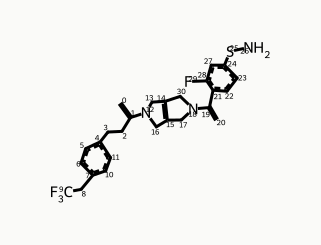 C=C(CCc1ccc(CC(F)(F)F)cc1)N1CC2=C(C1)CN(C(=C)c1ccc(SN)cc1F)C2